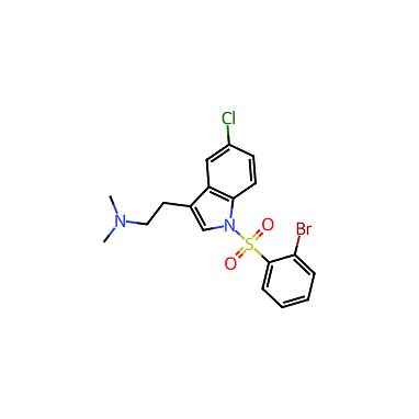 CN(C)CCc1cn(S(=O)(=O)c2ccccc2Br)c2ccc(Cl)cc12